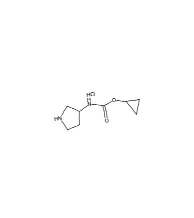 Cl.O=C(NC1CCNC1)OC1CC1